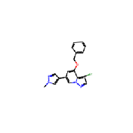 Cn1cc(-c2cc(OCc3ccccc3)c3c(Br)cnn3c2)cn1